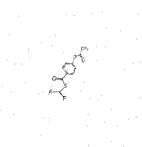 CC(=O)Oc1ccc(C(=O)SC(F)F)cc1